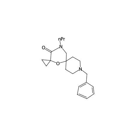 CCCN1CC2(CCN(Cc3ccccc3)CC2)OC2(CC2)C1=O